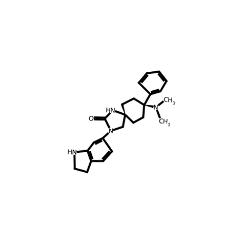 CN(C)[C@]1(c2ccccc2)CC[C@@]2(CC1)CN(c1ccc3c(c1)NCC3)C(=O)N2